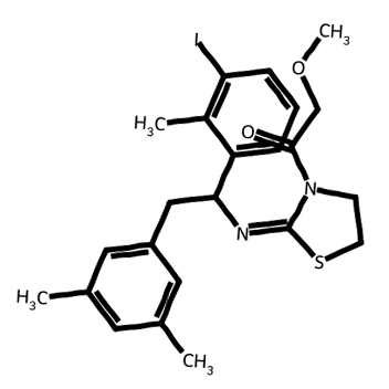 COCC(=O)N1CCS/C1=N/C(Cc1cc(C)cc(C)c1)c1cccc(I)c1C